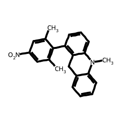 Cc1cc([N+](=O)[O-])cc(C)c1-c1cccc2c1Cc1ccccc1N2C